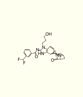 O=C(/N=c1\[nH]c2cc(N3CC4CC(C3=O)N4C3CC3)ccc2n1CCCO)c1cccc(C(F)F)c1